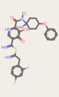 CCN(C(=O)c1[nH]cc(C(=N)SC(=N)Cc2ccc(F)cc2F)c(=O)c1O)C1(NC)CCC(Oc2ccccc2)CC1